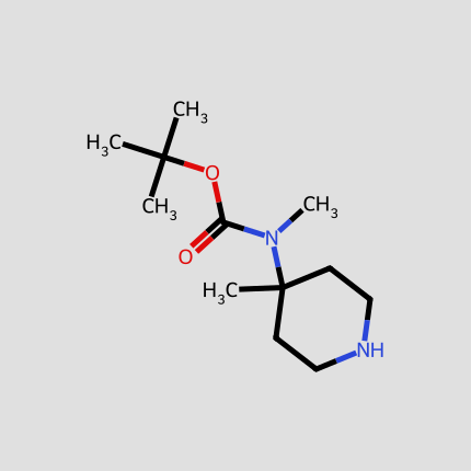 CN(C(=O)OC(C)(C)C)C1(C)CCNCC1